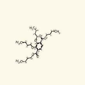 CCCCOC(=O)c1ccc(C(=O)OCCCC)c(OCCCC)c1OCCCC